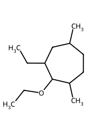 CCOC1C(C)CCC(C)CC1CC